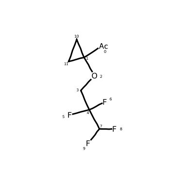 CC(=O)C1(OCC(F)(F)C(F)F)CC1